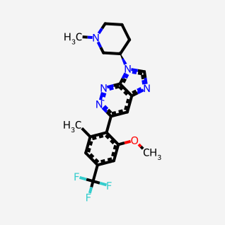 COc1cc(C(F)(F)F)cc(C)c1-c1cc2ncn([C@@H]3CCCN(C)C3)c2nn1